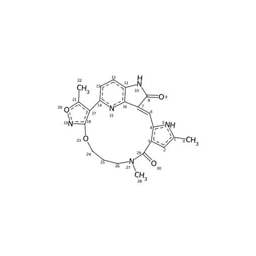 Cc1cc2c([nH]1)/C=C1\C(=O)Nc3ccc(nc31)-c1c(noc1C)OCCCN(C)C2=O